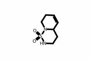 O=S1(=O)NCCC2C=CCCN21